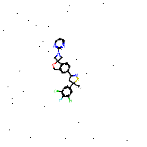 Fc1c(Cl)cc(C2(C(F)(F)F)CC(c3ccc4c(c3)COC43CN(c4ncccn4)C3)=NS2)cc1Cl